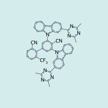 Cc1nc(C)nc(-c2ccc3c4ccccc4n(-c4cc(-c5c(C#N)cccc5C(F)(F)F)cc(-n5c6ccccc6c6ccc(-c7nc(C)nc(C)n7)cc65)c4C#N)c3c2)n1